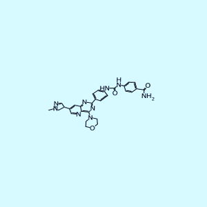 CN1CC(c2cnc3c(N4CCOCC4)nc(-c4ccc(NC(=O)Nc5ccc(C(N)=O)cc5)cc4)nc3c2)C=N1